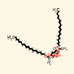 CCCCCCCCCCCCCCCCCCOC(C)OC(=O)CC(C(=O)OC(C)OCCCCCCCCCCCCCCCCCC)S(=O)(=O)O